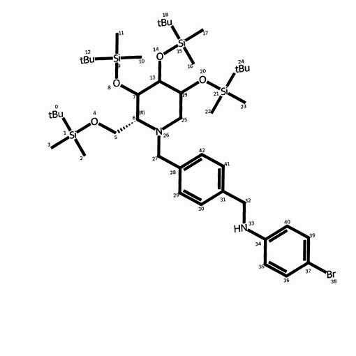 CC(C)(C)[Si](C)(C)OC[C@@H]1C(O[Si](C)(C)C(C)(C)C)C(O[Si](C)(C)C(C)(C)C)C(O[Si](C)(C)C(C)(C)C)CN1Cc1ccc(CNc2ccc(Br)cc2)cc1